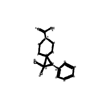 O=C(O)N1CCC2(CC1)[C@H](c1ccccc1)C2(Cl)Cl